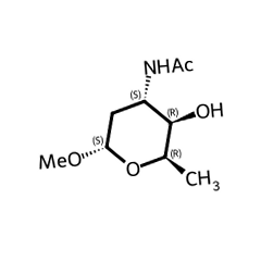 CO[C@@H]1C[C@H](NC(C)=O)[C@@H](O)[C@@H](C)O1